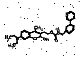 CCN(CC)c1ccc2c(c1)OC(O)C(CCOC(=O)NCc1cccc(-c3cccnc3)c1)=C2C